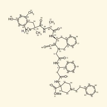 COC(=O)C1(NC(=O)CC(NC(=O)CN2Cc3ccccc3C[C@H](NC(=O)[C@@H](C)NC(=O)[C@@](C)(N)Cc3c(C)cc(O)cc3C)C2=C=O)c2ccccc2)CCN(CCc2ccccc2)CC1